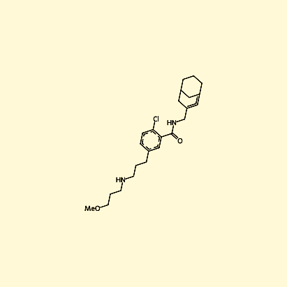 COCCCNCCCc1ccc(Cl)c(C(=O)NCC2=C=C3CCCC(C3)C2)c1